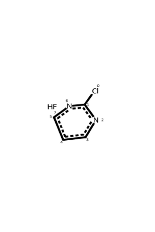 Clc1ncccn1.F